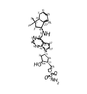 CC1(C)C[C@H](Nc2ncnc3c2ccn3[C@@H]2C[C@@H](COS(N)(=O)=O)[C@@H](O)C2)C2=CC=CCC21